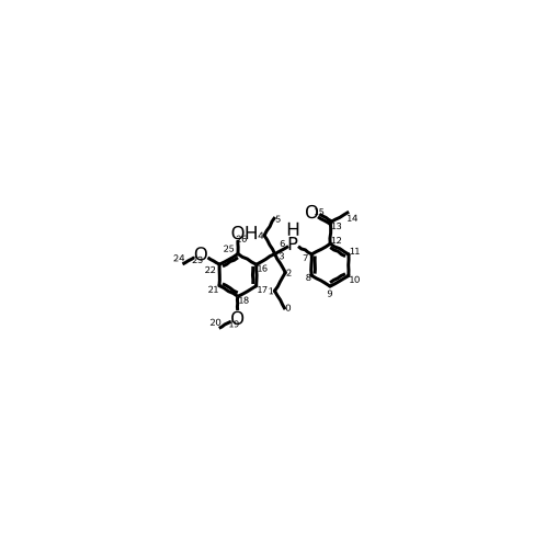 CCCC(CC)(Pc1ccccc1C(C)=O)c1cc(OC)cc(OC)c1O